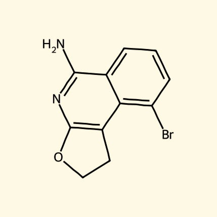 Nc1nc2c(c3c(Br)cccc13)CCO2